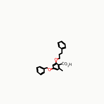 Cc1cc(OCc2ccccc2)cc(OCCCc2ccccc2)c1C(=O)O